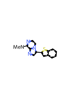 CNc1nccn2c(-c3cc4ccccc4s3)cnc12